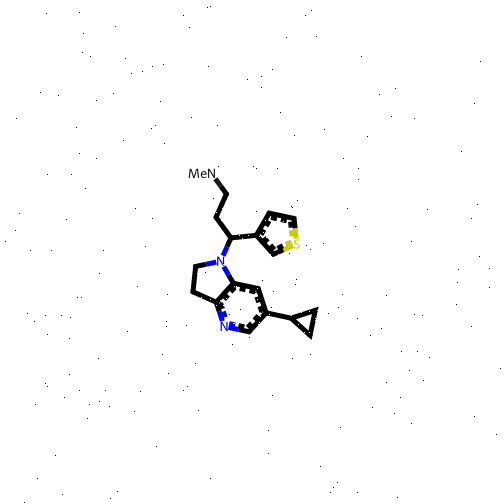 CNCCC(c1ccsc1)N1CCc2ncc(C3CC3)cc21